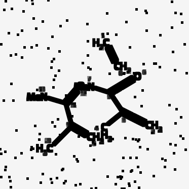 C=C.C=C(C)C(=O)NC.C=C(C)C(=O)NC